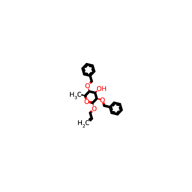 C=CCO[C@@H]1O[C@@H](C)[C@H](OCc2ccccc2)[C@@H](O)[C@H]1OCc1ccccc1